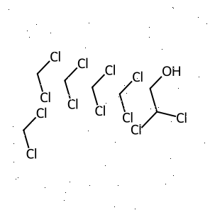 ClCCl.ClCCl.ClCCl.ClCCl.ClCCl.OCC(Cl)Cl